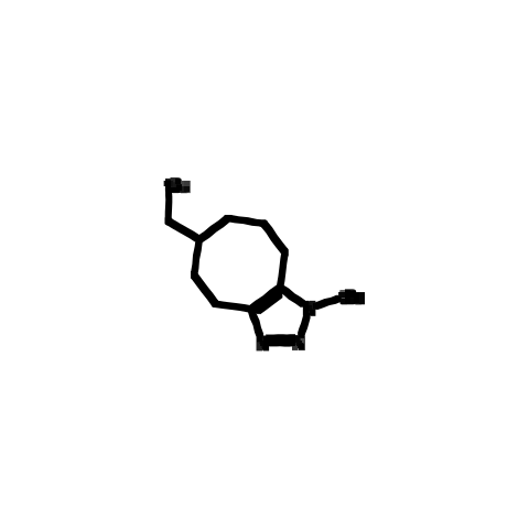 CC(C)(C)CC1CCCc2c(nnn2C(C)(C)C)CC1